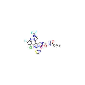 COC(=O)NC[C@H]1CN(CC2=C(C(=N)/C=C\NC(F)F)[C@H](c3ccc(F)cc3Cl)N=C(c3nccs3)N2)C(=O)O1